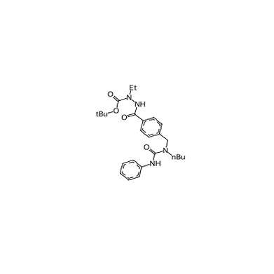 CCCCN(Cc1ccc(C(=O)NN(CC)C(=O)OC(C)(C)C)cc1)C(=O)Nc1ccccc1